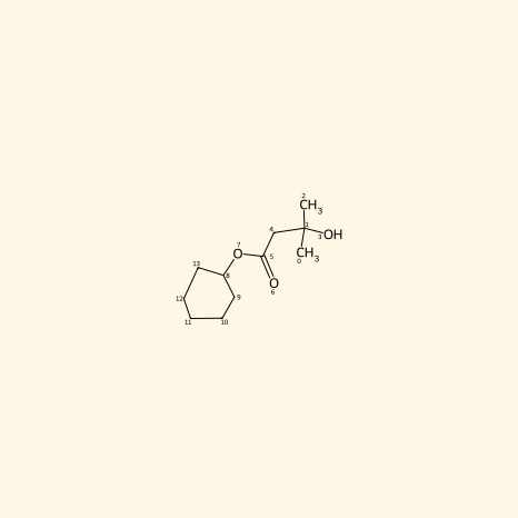 CC(C)(O)CC(=O)OC1CCCCC1